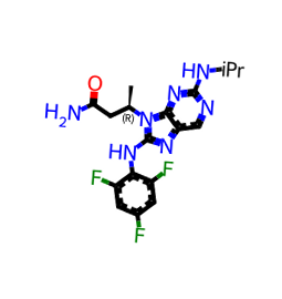 CC(C)Nc1ncc2nc(Nc3c(F)cc(F)cc3F)n([C@H](C)CC(N)=O)c2n1